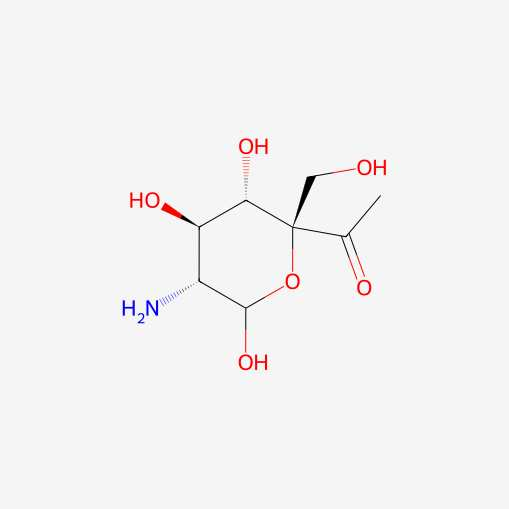 CC(=O)[C@]1(CO)OC(O)[C@H](N)[C@@H](O)[C@@H]1O